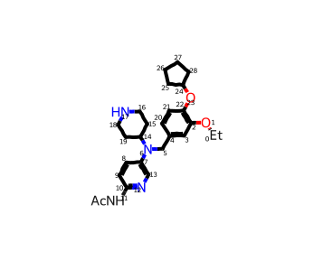 CCOc1cc(CN(c2ccc(NC(C)=O)nc2)C2CCNCC2)ccc1OC1CCCC1